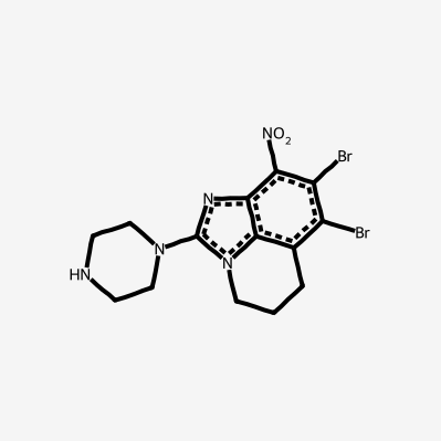 O=[N+]([O-])c1c(Br)c(Br)c2c3c1nc(N1CCNCC1)n3CCC2